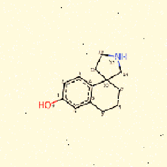 Oc1ccc2c(c1)CCCC21CCNC1